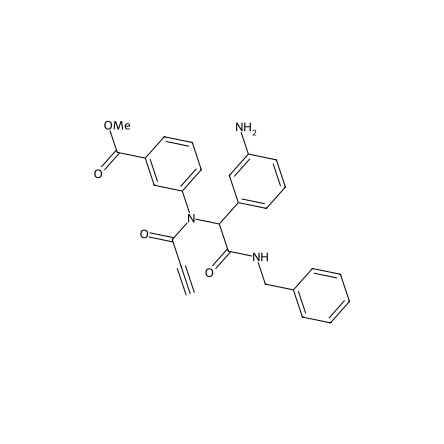 C#CC(=O)N(c1cccc(C(=O)OC)c1)C(C(=O)NCc1ccccc1)c1cccc(N)c1